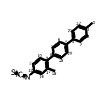 Cc1ccc(-c2ccc(-c3ccc(N=C=S)cc3C)cc2)cc1